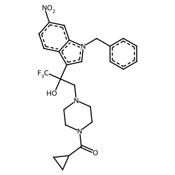 O=C(C1CC1)N1CCN(CC(O)(c2cn(Cc3ccccc3)c3cc([N+](=O)[O-])ccc23)C(F)(F)F)CC1